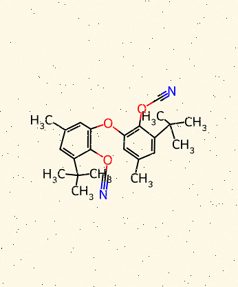 Cc1cc(Oc2cc(C)cc(C(C)(C)C)c2OC#N)c(OC#N)c(C(C)(C)C)c1